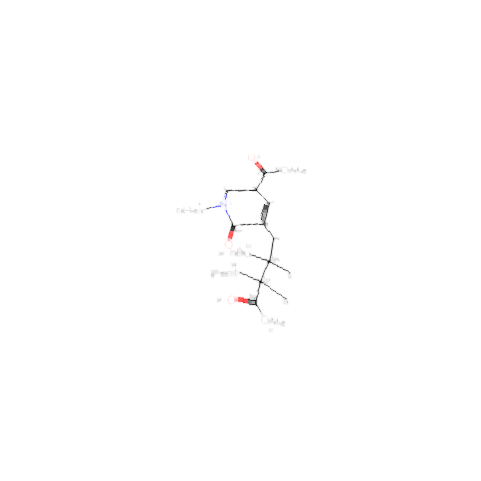 CCCCCCN1CC(C(=O)OC)C=C(CC(C)(CCCC)C(C)(C(=O)OC)C(C)CCC)C1=O